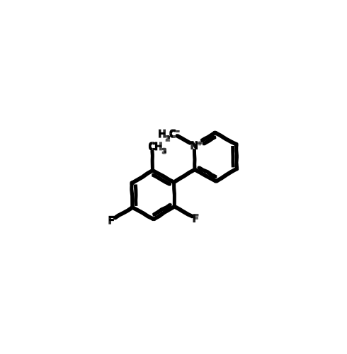 [CH2-][n+]1ccccc1-c1c(C)cc(F)cc1F